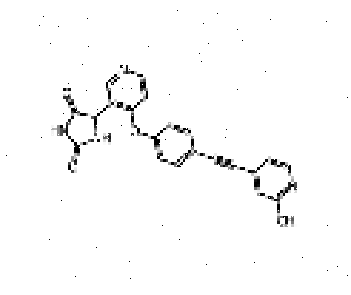 Cc1cc(C#Cc2ccc(Oc3ccncc3C3NC(=O)NC3=O)cc2)ccn1